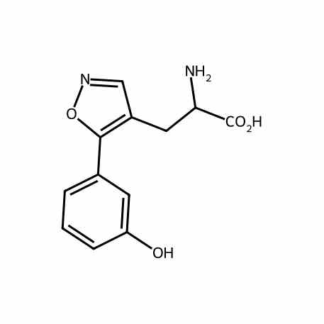 NC(Cc1cnoc1-c1cccc(O)c1)C(=O)O